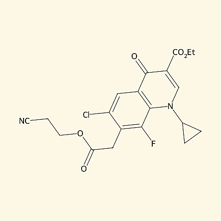 CCOC(=O)c1cn(C2CC2)c2c(F)c(CC(=O)OCCC#N)c(Cl)cc2c1=O